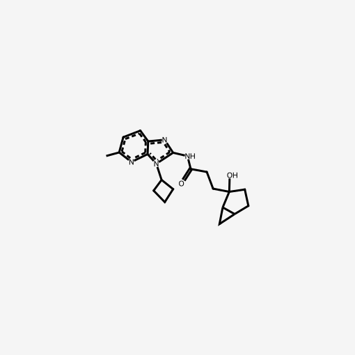 Cc1ccc2nc(NC(=O)CCC3(O)CCC4CC43)n(C3CCC3)c2n1